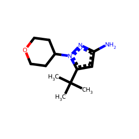 CC(C)(C)c1cc(N)nn1C1CCOCC1